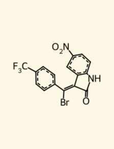 O=C1Nc2ccc([N+](=O)[O-])cc2C1=C(Br)c1ccc(C(F)(F)F)cc1